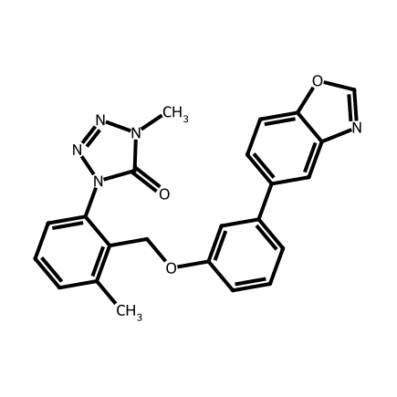 Cc1cccc(-n2nnn(C)c2=O)c1COc1cccc(-c2ccc3ocnc3c2)c1